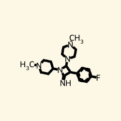 CN1CCC(N2C(=N)C(c3ccc(F)cc3)C2N2CCN(C)CC2)CC1